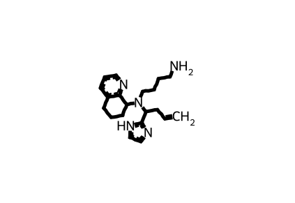 C=CCC(c1ncc[nH]1)N(CCCCN)C1CCCc2cccnc21